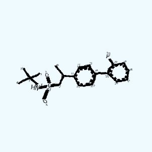 CC(CS(=O)(=O)NC(C)(C)C)c1ccc(-c2ccccc2F)cc1